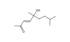 CC(=O)/C=C/C(C)(O)CCC(C)C